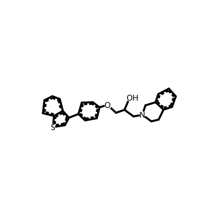 OC(COc1ccc(-c2csc3ccccc23)cc1)CN1CCc2ccccc2C1